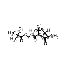 CC(C)(C)C(=O)OCOC(=O)[C@@H]1N2C(=O)C(N)[C@H]2SC1(C)C